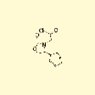 O=C(Cl)CN1C(=O)OC[C@@H]1C1C=CC=CC1